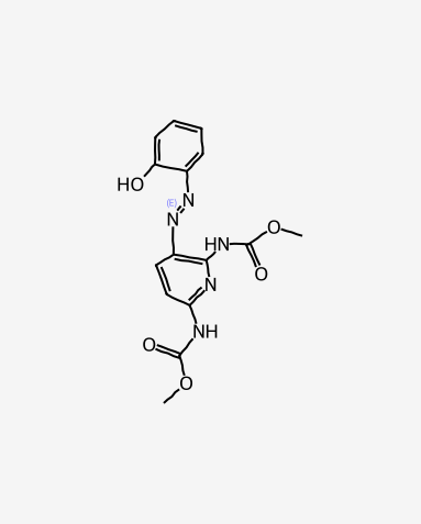 COC(=O)Nc1ccc(/N=N/c2ccccc2O)c(NC(=O)OC)n1